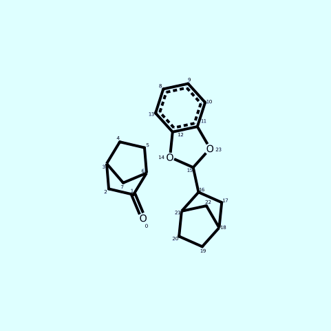 O=C1CC2CCC1C2.c1ccc2c(c1)OC(C1CC3CCC1C3)O2